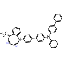 C=C1/C=C\C=C/N(c2ccc(-c3ccc(N(C4=CC=CCC4)c4ccc(-c5ccccc5)cc4)cc3)cc2)c2ccccc21